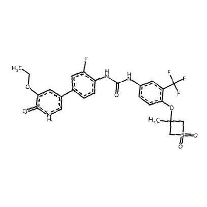 CCOc1cc(-c2ccc(NC(=O)Nc3ccc(OC4(C)CS(=O)(=O)C4)c(C(F)(F)F)c3)c(F)c2)c[nH]c1=O